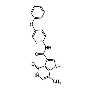 Cc1c[nH]c(=O)c2c(C(=O)Nc3ccc(Oc4ccccc4)cn3)c[nH]c12